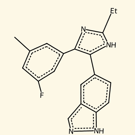 CCc1nc(-c2cc(C)cc(F)c2)c(-c2ccc3[nH]ncc3c2)[nH]1